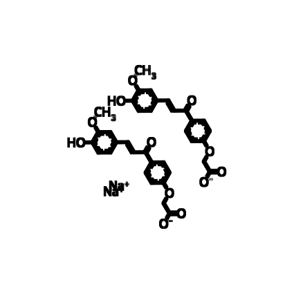 COc1cc(C=CC(=O)c2ccc(OCC(=O)[O-])cc2)ccc1O.COc1cc(C=CC(=O)c2ccc(OCC(=O)[O-])cc2)ccc1O.[Na+].[Na+]